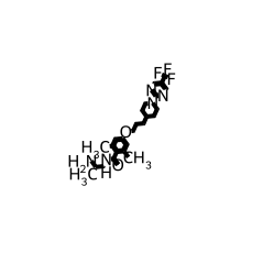 Cc1cc(OCCCC2CCN(c3ncc(C(F)(F)F)cn3)CC2)cc(C)c1C(=O)NCC(C)N